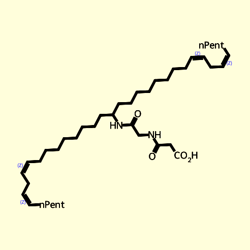 CCCCC/C=C\C/C=C\CCCCCCCCC(CCCCCCCC/C=C\C/C=C\CCCCC)NC(=O)CNC(=O)CC(=O)O